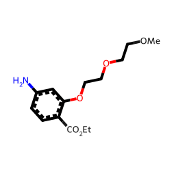 CCOC(=O)c1ccc(N)cc1OCCOCCOC